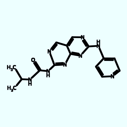 CC(C)NC(=O)Nc1ncc2cnc(Nc3ccncc3)nc2n1